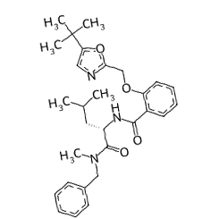 CC(C)C[C@H](NC(=O)c1ccccc1OCc1ncc(C(C)(C)C)o1)C(=O)N(C)Cc1ccccc1